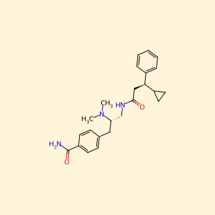 CN(C)[C@H](CNC(=O)C[C@@H](c1ccccc1)C1CC1)Cc1ccc(C(N)=O)cc1